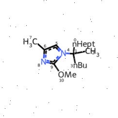 CCCCCCCC(C)(CCCC)n1cc(C)nc1OC